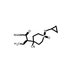 C/C=C(\C(=O)NC)C1(C#N)CCS(=O)(=NC2CC2)CC1